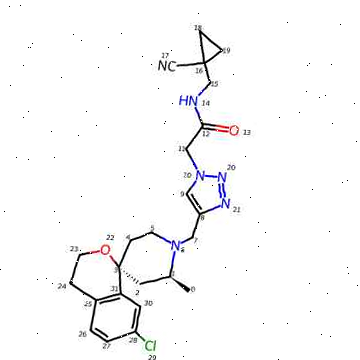 C[C@H]1C[C@@]2(CCN1Cc1cn(CC(=O)NCC3(C#N)CC3)nn1)OCCc1ccc(Cl)cc12